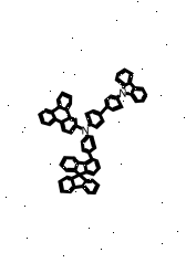 c1ccc2c(c1)-c1ccccc1C21c2ccccc2-c2c(-c3ccc(N(c4ccc(-c5ccc(-n6c7ccccc7c7ccccc76)cc5)cc4)c4ccc5c6ccccc6c6ccccc6c5c4)cc3)cccc21